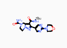 CC(C)(C)NC(=O)c1c(-c2cnc(N3CCOCC3)nc2)nn2c1CN(C(N)=O)CC2